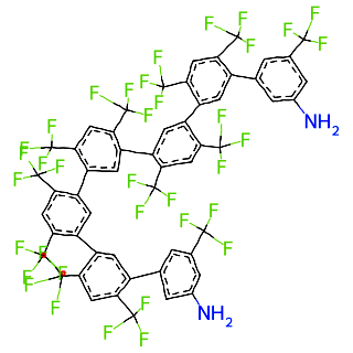 Nc1cc(-c2cc(-c3cc(-c4cc(-c5cc(-c6cc(-c7cc(N)cc(C(F)(F)F)c7)c(C(F)(F)F)cc6C(F)(F)F)c(C(F)(F)F)cc5C(F)(F)F)c(C(F)(F)F)cc4C(F)(F)F)c(C(F)(F)F)cc3C(F)(F)F)c(C(F)(F)F)cc2C(F)(F)F)cc(C(F)(F)F)c1